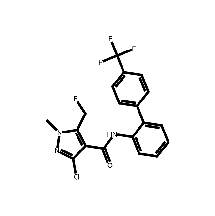 Cn1nc(Cl)c(C(=O)Nc2ccccc2-c2ccc(C(F)(F)F)cc2)c1CF